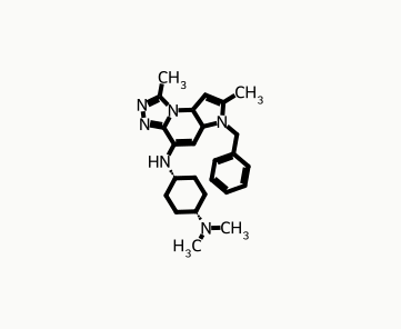 CC1=CC2C(C=C(N[C@H]3CC[C@@H](N(C)C)CC3)c3nnc(C)n32)N1Cc1ccccc1